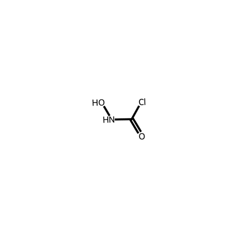 O=C(Cl)NO